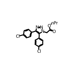 CCCOC(=O)Cn1nnc(-c2ccc(Cl)cc2)c1-c1ccc(Cl)cc1